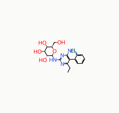 CCc1nc(NC2O[C@H](CO)[C@H](O)[C@H](O)[C@H]2O)nc(N)c1-c1ccccc1Cl